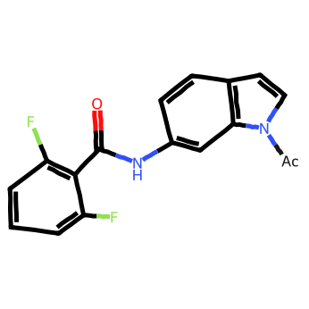 CC(=O)n1ccc2ccc(NC(=O)c3c(F)cccc3F)cc21